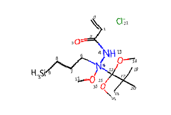 C=CC(=O)N[N+](CCC[SiH3])(OC)C(OC)(OC)C(C)(C)C.[Cl-]